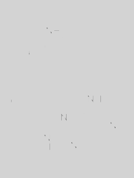 NC(=O)C1CCC(Nc2nc(NC3CCOCC3)ncc2N)CC1